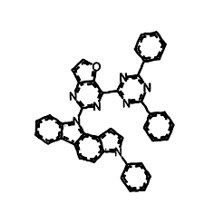 c1ccc(-c2nc(-c3ccccc3)nc(-c3nc(-n4c5ccccc5c5ccc6c(ccn6-c6ccccc6)c54)nc4ccoc34)n2)cc1